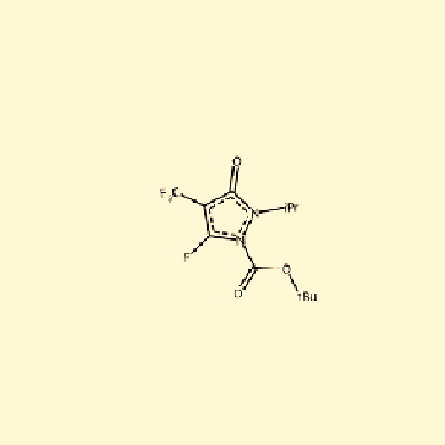 CC(C)n1c(=O)c(C(F)(F)F)c(F)n1C(=O)OC(C)(C)C